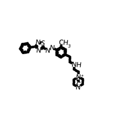 Cc1cc(CCNCC[N+]23CCN(CC2)CC3)ccc1N=Nc1nc(-c2ccccc2)ns1